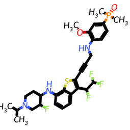 COc1cc(P(C)(C)=O)ccc1NCC#Cc1sc2c(NC3CCN(C(C)C)CC3F)cccc2c1C(F)C(F)F